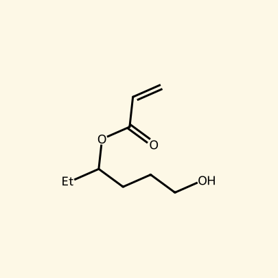 C=CC(=O)OC(CC)CCCO